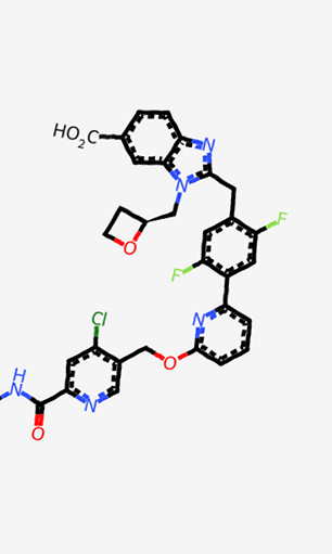 CC(C)NC(=O)c1cc(Cl)c(COc2cccc(-c3cc(F)c(Cc4nc5ccc(C(=O)O)cc5n4C[C@@H]4CCO4)cc3F)n2)cn1